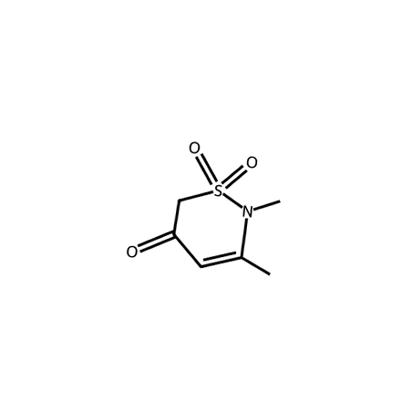 CC1=CC(=O)CS(=O)(=O)N1C